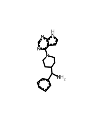 NC(c1ccccc1)C1CCN(c2ncnc3[nH]ccc23)CC1